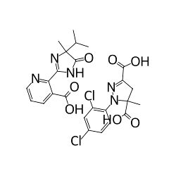 CC(C)C1(C)N=C(c2ncccc2C(=O)O)NC1=O.CC1(C(=O)O)CC(C(=O)O)=NN1c1ccc(Cl)cc1Cl